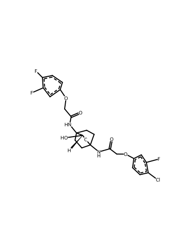 O=C(COc1ccc(Cl)c(F)c1)NC12CCC(NC(=O)COc3ccc(F)c(F)c3)(CC1)[C@@H](O)C2